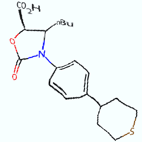 CCCCC1[C@H](C(=O)O)OC(=O)N1c1ccc(C2CCSCC2)cc1